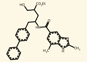 CCOC(=O)C(CO)CC(Cc1ccc(-c2ccccc2)cc1)NC(=O)c1cc(C)c2[nH]c(C)nc2c1